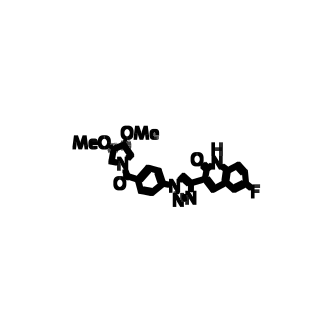 CO[C@H]1CN(C(=O)c2ccc(-n3cc(-c4cc5cc(F)ccc5[nH]c4=O)nn3)cc2)C[C@H]1OC